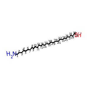 NCCCCCCCCCCCCCCCCCCCCCCCCCCCCCCO